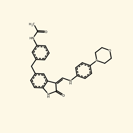 CC(=O)Nc1cccc(Cc2ccc3c(c2)C(=CNc2ccc(N4CCOCC4)cc2)C(=O)N3)c1